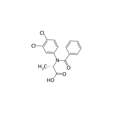 C[C@@H](C(=O)O)N(C(=O)c1ccccc1)c1ccc(Cl)c(Cl)c1